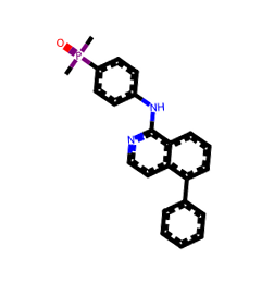 CP(C)(=O)c1ccc(Nc2nccc3c(-c4ccccc4)cccc23)cc1